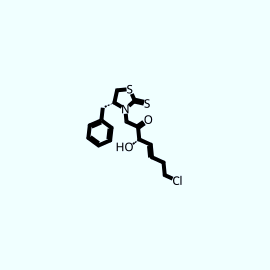 O=C(CN1C(=S)SC[C@H]1Cc1ccccc1)[C@@H](O)/C=C/CCCl